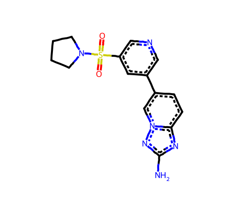 Nc1nc2ccc(-c3cncc(S(=O)(=O)N4CCCC4)c3)cn2n1